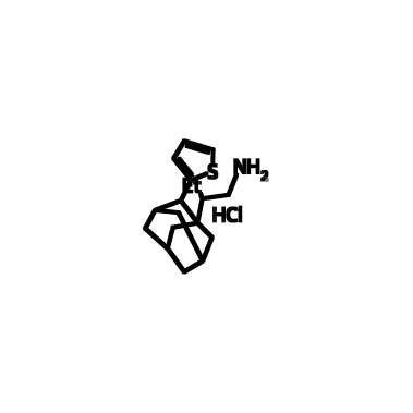 Cl.[CH2]CC(CN)C12CC3CC(CC(C3)C1c1cccs1)C2